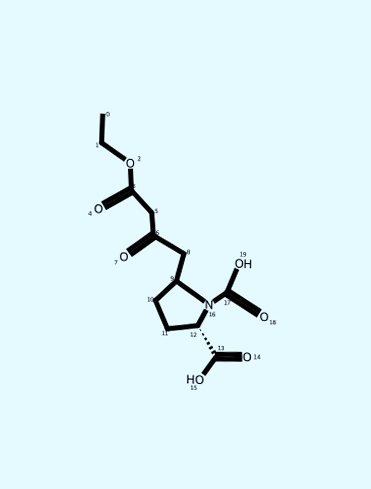 CCOC(=O)CC(=O)CC1CC[C@@H](C(=O)O)N1C(=O)O